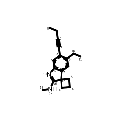 CCC#Cc1cc2c(cc1CC)C1(CCC1)C(NC)=N2